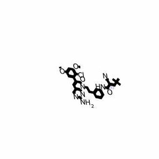 COc1cc(OC)c(Cl)c(-c2cc3cnc(N)nc3n(CCc3cccc(NC(=O)/C(C#N)=C/C(C)(C)C)c3)c2=O)c1